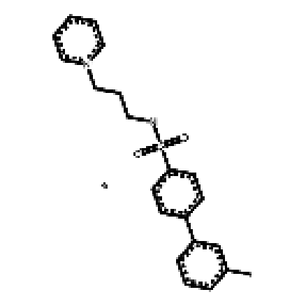 Cc1cccc(-c2ccc(S(=O)(=O)NCCC[n+]3ccccc3)cc2)c1.[Br-]